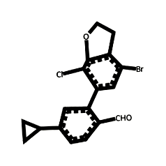 O=Cc1ccc(C2CC2)cc1-c1cc(Br)c2c(c1Cl)OCC2